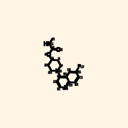 CNC(=O)OC1CCN(c2ccnc3ccc(F)cc23)CC1